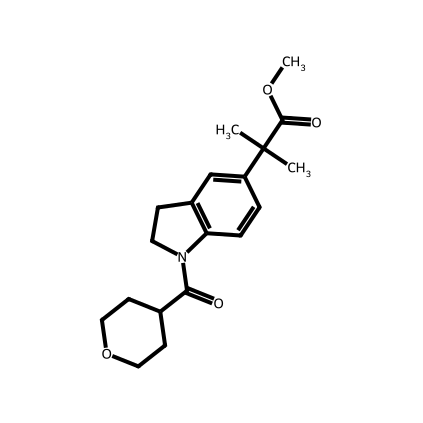 COC(=O)C(C)(C)c1ccc2c(c1)CCN2C(=O)C1CCOCC1